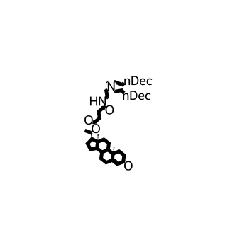 CCCCCCCCCCCC[N+](C)(CCCCCCCCCCCC)CCNC(=O)CCC(=O)OC(C)[C@H]1CCC2C3CCC4=CC(=O)CC[C@]4(C)C3CC[C@@]21C